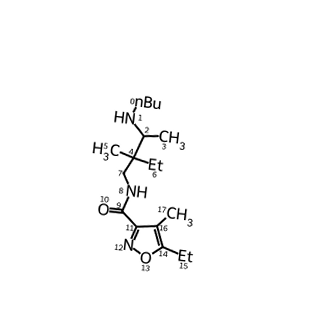 CCCCNC(C)C(C)(CC)CNC(=O)c1noc(CC)c1C